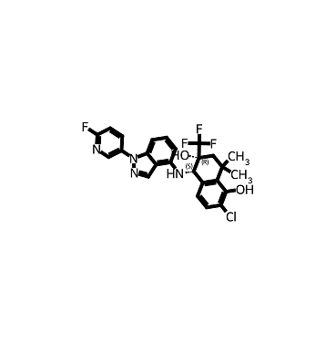 CC1(C)C[C@](O)(C(F)(F)F)[C@@H](Nc2cccc3c2cnn3-c2ccc(F)nc2)c2ccc(Cl)c(O)c21